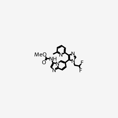 COC(=O)Nc1cnc2ccc(-c3c(-c4cccc(C)n4)ncn3CC(F)F)cn12